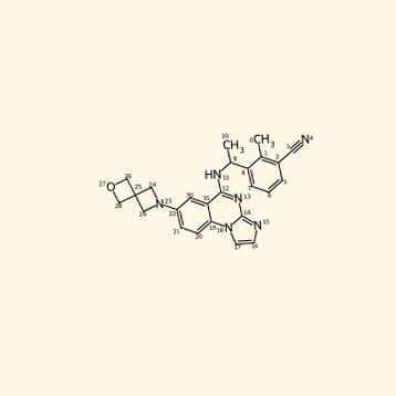 Cc1c(C#N)cccc1C(C)Nc1nc2nccn2c2ccc(N3CC4(COC4)C3)cc12